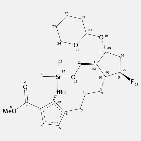 COC(=O)c1ccc(CCC[C@@H]2[C@@H](CO[Si](C)(C)C(C)(C)C)[C@H](OC3CCCCO3)C[C@H]2F)s1